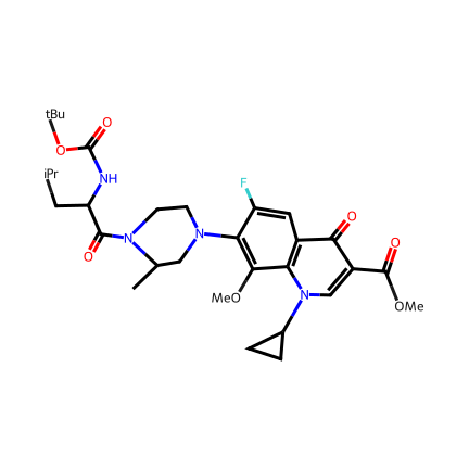 COC(=O)c1cn(C2CC2)c2c(OC)c(N3CCN(C(=O)C(CC(C)C)NC(=O)OC(C)(C)C)C(C)C3)c(F)cc2c1=O